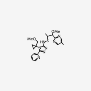 COCC1(n2c(NSC(C)C(OC)c3ncc(C)cn3)nnc2-c2ccccn2)CC1